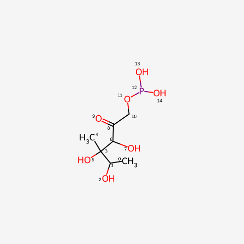 CC(O)C(C)(O)C(O)C(=O)COP(O)O